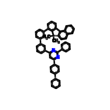 CC1(C)c2ccc3ccccc3c2-c2cccc(-c3cccc(-c4cccc(-c5cc(-c6ccc(-c7ccccc7)cc6)nc(-c6ccccc6)n5)c4)c3)c21